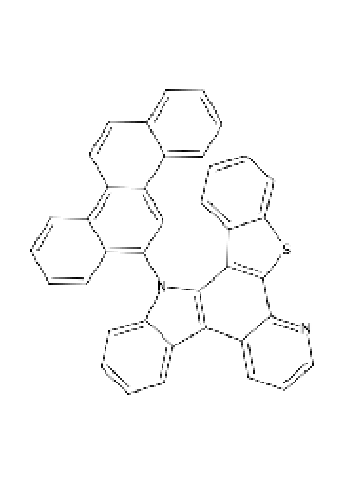 c1ccc2c(c1)ccc1c3ccccc3c(-n3c4ccccc4c4c5cccnc5c5sc6ccccc6c5c43)cc21